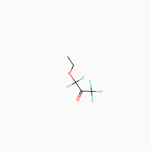 CCOC(F)(F)C(=O)C(F)(F)F